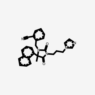 CC1(c2cccc3ccccc23)C(=O)N(CCCn2ccnc2)C(=O)N1Cc1ccccc1C#N